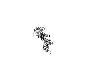 Nc1ncnc2c1ncn2[C@@H]1O[C@H](COP(=O)(O)CP(=O)(O)O[C@@H]2OC([C@H](O)CO)[C@@H](O)C(O)C2O)[C@H](O)[C@@H]1O